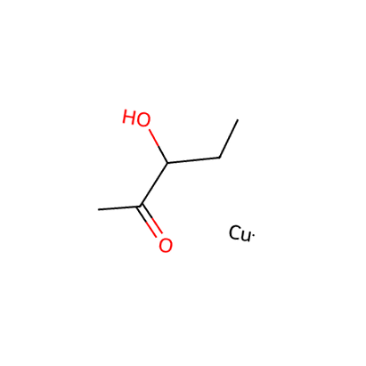 CCC(O)C(C)=O.[Cu]